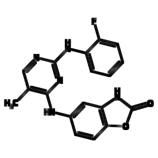 Cc1cnc(Nc2ccccc2F)nc1Nc1ccc2oc(=O)[nH]c2c1